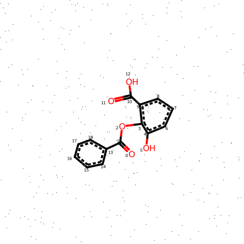 O=C(Oc1c(O)cccc1C(=O)O)c1ccccc1